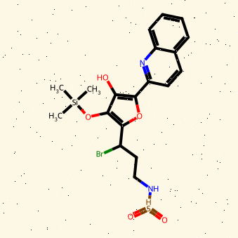 C[Si](C)(C)Oc1c(C(Br)CCN[SH](=O)=O)oc(-c2ccc3ccccc3n2)c1O